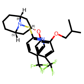 CC(C)COc1cc(C(F)(F)F)ccc1O[C@H]1C[C@H]2CCC[C@@H](C1)N2Sc1ccc(C(F)(F)F)cn1